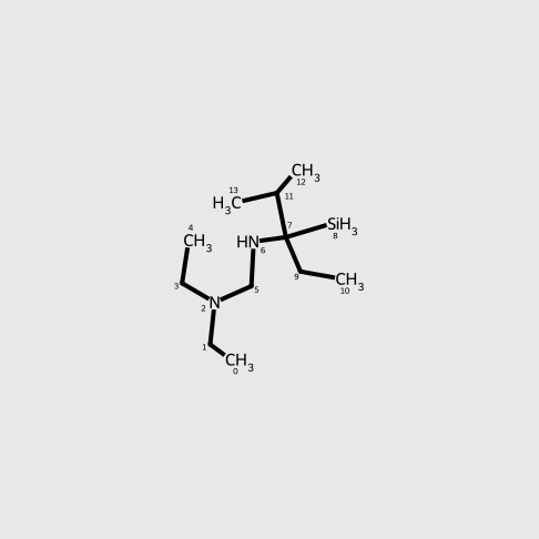 CCN(CC)CNC([SiH3])(CC)C(C)C